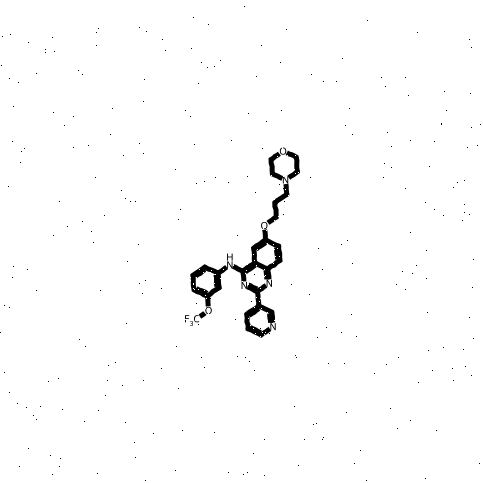 FC(F)(F)Oc1cccc(Nc2nc(-c3cccnc3)nc3ccc(OCCCN4CCOCC4)cc23)c1